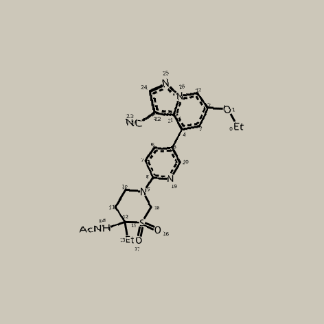 CCOc1cc(-c2ccc(N3CCC(CC)(NC(C)=O)S(=O)(=O)C3)nc2)c2c(C#N)cnn2c1